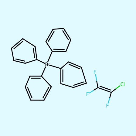 FC(F)=C(F)Cl.c1ccc([B-](c2ccccc2)(c2ccccc2)c2ccccc2)cc1